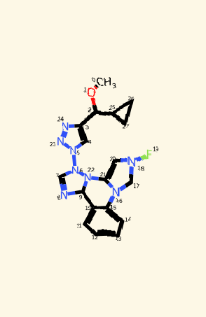 COC(c1cn(N2C=NC3c4ccccc4N4CN(F)C=C4N32)nn1)C1CC1